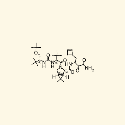 CC(C)(C)OC[C@H](NC(=O)N[C@H](C(=O)N1C[C@H]2[C@@H]([C@H]1C(=O)NC(CC1CCC1)C(=O)C(N)=O)C2(C)C)C(C)(C)C)C(C)(C)C